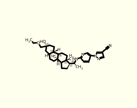 CCOC[C@@]1(O)CC[C@H]2[C@H](CC[C@H]3C4CC[C@H]([C@@H](C)Nc5ccc(-n6cc(C#N)cn6)cn5)[C@@]4(C)CC[C@H]23)C1